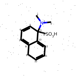 CN(C)C1(S(=O)(=O)O)C=CC=C2CC=CC=C21